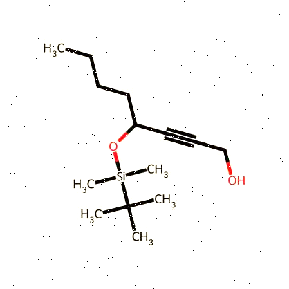 CCCCC(C#CCO)O[Si](C)(C)C(C)(C)C